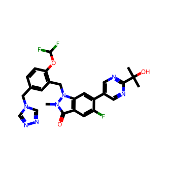 Cn1c(=O)c2cc(F)c(-c3cnc(C(C)(C)O)nc3)cc2n1Cc1cc(Cn2cnnc2)ccc1OC(F)F